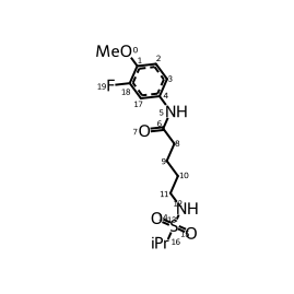 COc1ccc(NC(=O)CCCCNS(=O)(=O)C(C)C)cc1F